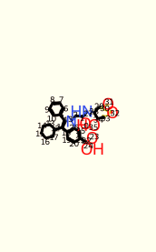 O=C(Cn1c(-c2ccccc2)c(C2CCCCC2)c2ccc(C(=O)O)cc21)N[C@H]1CS(=O)(=O)C[C@@H]1O